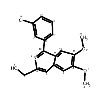 COc1cc2cc(CO)nc(-c3cccc(Cl)c3)c2cc1OC